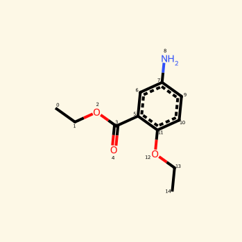 CCOC(=O)c1cc(N)ccc1OCC